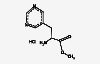 COC(=O)C(N)Cc1cncnc1.Cl